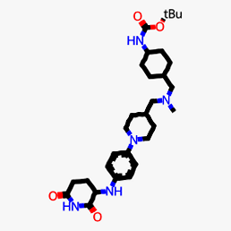 CN(CC1CCC(NC(=O)OC(C)(C)C)CC1)CC1CCN(c2ccc(NC3CCC(=O)NC3=O)cc2)CC1